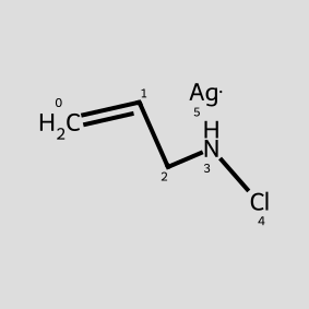 C=CCNCl.[Ag]